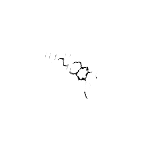 CCOc1cc2c(cc1OC)CCN(CC(N)=O)C2